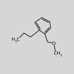 CCCc1ccccc1COC